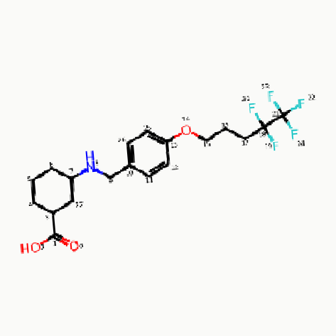 O=C(O)C1CCCC(NCc2ccc(OCCCC(F)(F)C(F)(F)F)cc2)C1